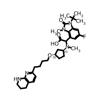 CN(C(C(=O)O)c1cc(F)cc2c1n(C)c(=O)n2C(C)(C)C)[C@H]1CC[C@H](OCCCCc2ccc3c(n2)NCCC3)C1